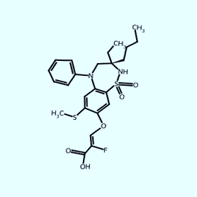 CCCC[C@]1(CC)CN(c2ccccc2)c2cc(SC)c(O/C=C(\F)C(=O)O)cc2S(=O)(=O)N1